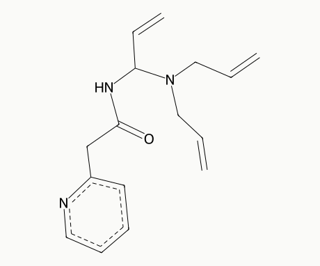 C=CCN(CC=C)C(C=C)NC(=O)Cc1ccccn1